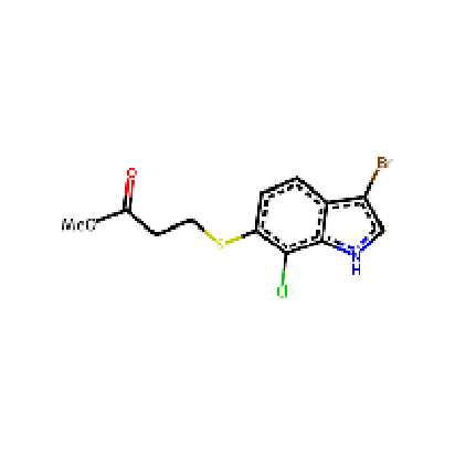 COC(=O)CCSc1ccc2c(Br)c[nH]c2c1Cl